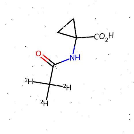 [2H]C([2H])([2H])C(=O)NC1(C(=O)O)CC1